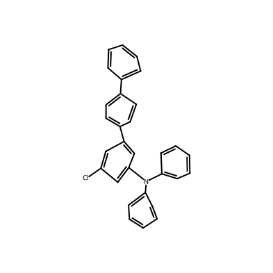 Clc1cc(-c2ccc(-c3ccccc3)cc2)cc(N(c2ccccc2)c2ccccc2)c1